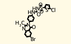 Cc1nc2ccc(Br)cc2c(=O)n1-c1ccc(NC(=O)NS(=O)(=O)c2ccc(Cl)s2)cc1